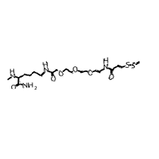 CNC(CCCCNC(=O)COCCOCCOCCNC(=O)CCSSC)C(N)=O